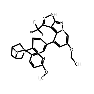 CCOc1cc(-c2ccc(N3CC4CC(C3)N4Cc3ccc(OC)nc3)nc2)c2c3c(C(F)(F)F)n[nH]c3nn2c1